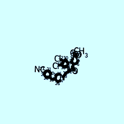 CS(=O)(=O)N1CCC(C(=O)N(CCCN2CCC(Cc3ccc(C#N)cc3)CC2)c2ccc(Cl)c(Cl)c2)CC1